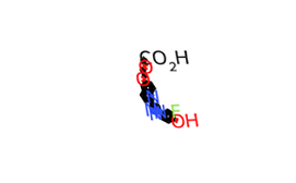 O=C(O)COCCOc1ccc2nc(-c3cn(-c4ccc(O)c(F)c4)nn3)ccc2c1